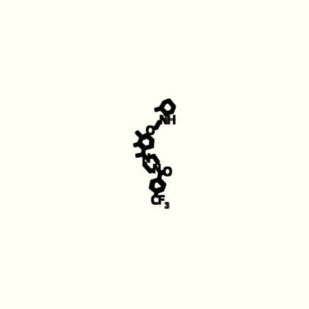 Cc1c(OCCNC2CCCCC2C)ccc(C(C)N2CCN(C(=O)c3ccc(C(F)(F)F)cc3)CC2)c1C